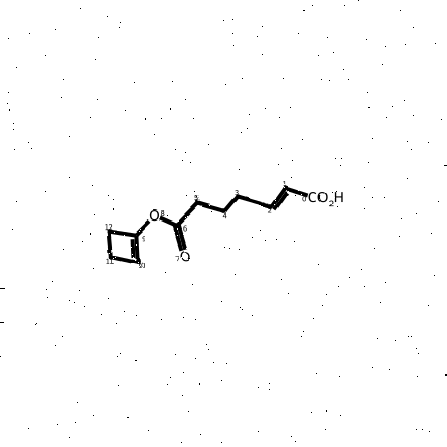 O=C(O)C=CCCCC(=O)OC1=CCC1